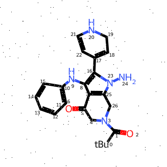 CC(C)(C)C(=O)N1CC(=O)c2c(Nc3ccccc3)c(C3=CCNC=C3)n(N)c2C1